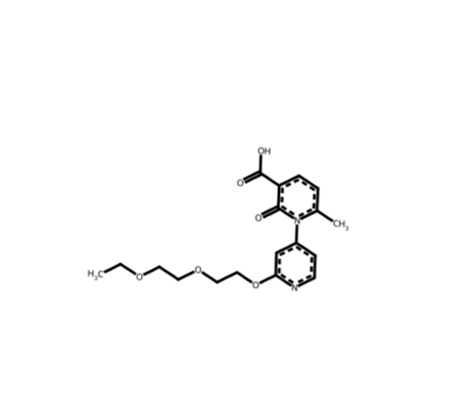 CCOCCOCCOc1cc(-n2c(C)ccc(C(=O)O)c2=O)ccn1